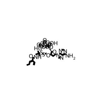 C=C/C(=C\CC)C(=O)NCC(C)(C)SSCOC1C[C@H](n2cnc3c(N)ncnc32)O[C@@H]1COP(=O)(O)OP(=O)(O)OP(=O)(O)O